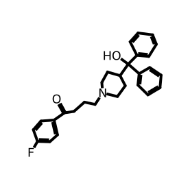 O=C(CCCN1CCC(C(O)(c2ccccc2)c2ccccc2)CC1)c1ccc(F)cc1